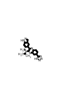 CC(C)N(C)c1nc2cc(-c3nnn[nH]3)ccc2nc1-c1ccc2[nH]ncc2c1